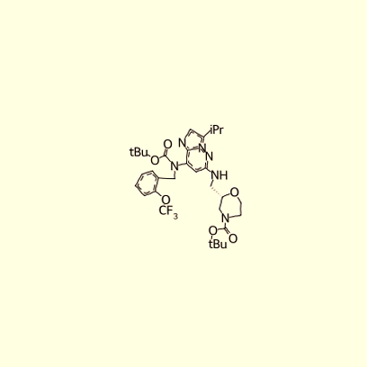 CC(C)c1cnc2c(N(Cc3ccccc3OC(F)(F)F)C(=O)OC(C)(C)C)cc(NC[C@H]3CN(C(=O)OC(C)(C)C)CCO3)nn12